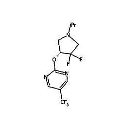 CC(C)N1C[C@@H](Oc2ncc(C(F)(F)F)cn2)C(F)(F)C1